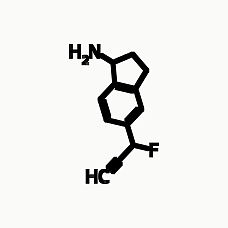 C#CC(F)c1ccc2c(c1)CCC2N